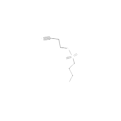 N#CCCNS(=O)(=O)CCCCl